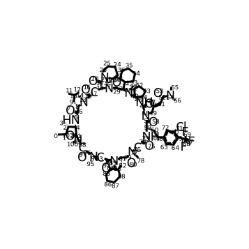 CC[C@H](C)[C@@H]1NC(=O)[C@H](CC(C)C)N(C)C(=O)C[C@@H](C(=O)N2CCCCC2)N(C)C(=O)C(C2CCCCC2)N(C)C2(CCCC2)NC(=O)N(C/C=C/C(=O)N(C)C)C(=O)[C@@H](CCc2ccc(C(F)(F)F)c(Cl)c2)NC(=O)CN(C)C(=O)[C@H](CC2CCCCC2)N(C)C(=O)CN(C)C(=O)CN(C)C1=O